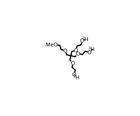 [2H]OCCOCC(COCCO[2H])(COCCO[2H])COCCOC